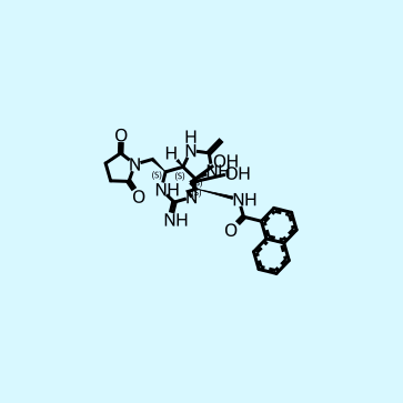 C=C1N[C@H]2[C@H](CN3C(=O)CCC3=O)NC(=N)N3C[C@H](NC(=O)c4cccc5ccccc45)C(O)(O)[C@]23N1